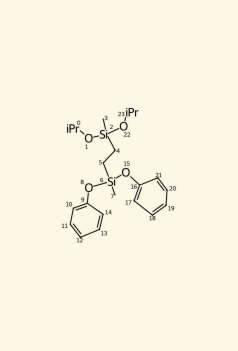 CC(C)O[Si](C)(CC[Si](C)(Oc1ccccc1)Oc1ccccc1)OC(C)C